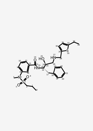 CCCS(=O)(=O)N(C)c1cccc(C(=O)N[C@@H](Cc2ccccc2)[C@@H](O)CNCc2ccc(CC)s2)c1